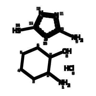 Cl.NC1CCCCC1O.Nc1nnc(S)s1